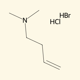 Br.C=CCCN(C)C.Cl